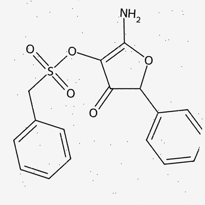 NC1=C(OS(=O)(=O)Cc2ccccc2)C(=O)C(c2ccccc2)O1